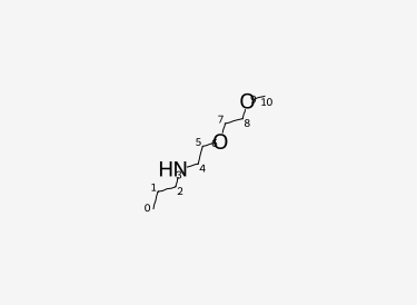 CCCNCCOCCOC